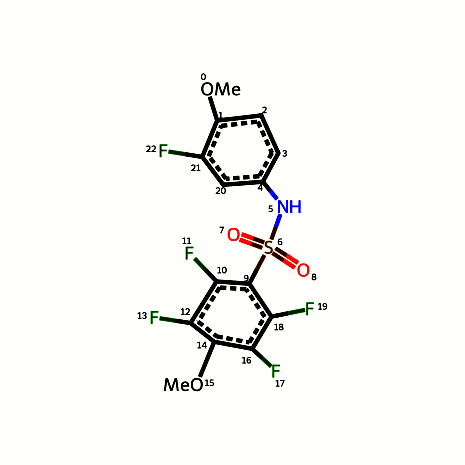 COc1ccc(NS(=O)(=O)c2c(F)c(F)c(OC)c(F)c2F)cc1F